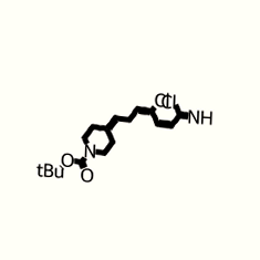 CC(C)(C)OC(=O)N1CCC(=CC/C=C(Cl)\C=C/C(=N)Cl)CC1